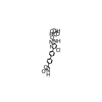 O=c1[nH]cc(-c2ccc(-c3ccc(-c4nc5nc(OC6CO[C@@H]7CCO[C@H]67)[nH]c5cc4Cl)cc3)cc2)o1